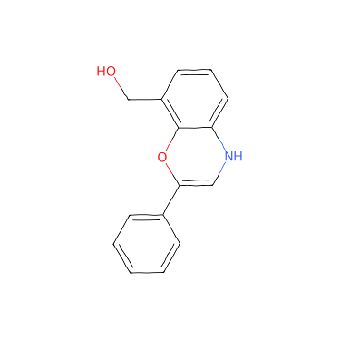 OCc1cccc2c1OC(c1ccccc1)=CN2